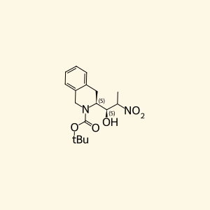 CC([C@@H](O)[C@@H]1Cc2ccccc2CN1C(=O)OC(C)(C)C)[N+](=O)[O-]